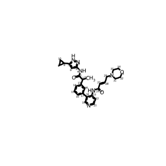 CC(C(=O)Nc1cc(C2CC2)[nH]n1)c1cccc(-c2cnccc2NC(=O)/C=C/CN2CCOCC2)c1